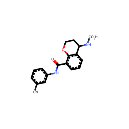 N#Cc1cccc(NC(=O)c2cccc3c2OCCC3NC(=O)O)c1